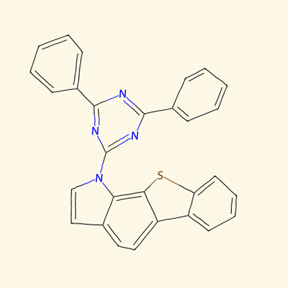 c1ccc(-c2nc(-c3ccccc3)nc(-n3ccc4ccc5c6ccccc6sc5c43)n2)cc1